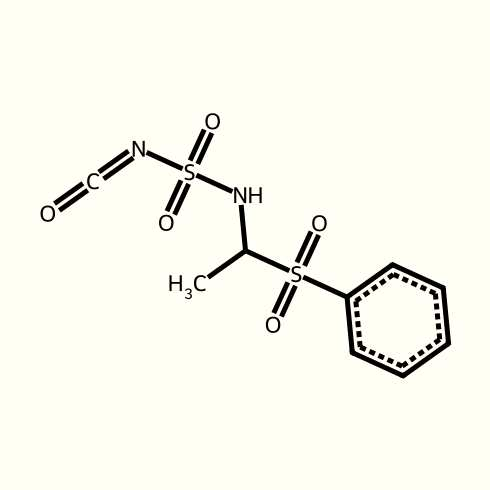 CC(NS(=O)(=O)N=C=O)S(=O)(=O)c1ccccc1